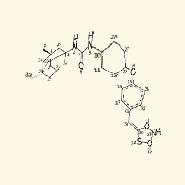 C[C@]12CC3CC(NC(=O)NC4CCC(Oc5ccc(/C=C6\ONOS6)cc5)CC4)(C1)C[C@@](C)(C3)C2